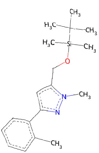 Cc1ccccc1-c1cc(CO[Si](C)(C)C(C)(C)C)n(C)n1